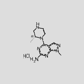 C[C@@H]1CNCCN1c1nc(N)nc2c1cnn2C.Cl